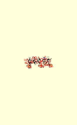 CC1[C@@H](O[C@H]2C(O)C(OS(=O)(=O)O)[C@H](O[C@@H]3C(COS(=O)(=O)O)O[C@H](C)C(C)[C@H]3O)O[C@H]2N=O)OC(COS(=O)(=O)O)[C@@H](O[C@@H]2OC(C(=O)O)[C@@H](O[C@H]3OC(COS(=O)(=O)O)[C@@H](O)[C@H](O)C3C)[C@H](O)C2C)[C@@H]1C